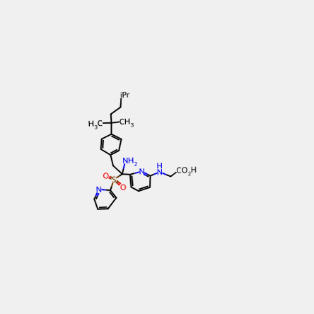 CC(C)CCC(C)(C)c1ccc(CC(N)(c2cccc(NCC(=O)O)n2)S(=O)(=O)c2ccccn2)cc1